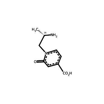 C[C@H](N)Cn1ccc(C(=O)O)cc1=O